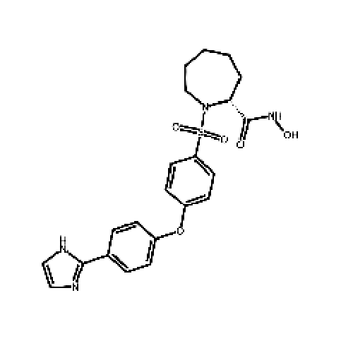 O=C(NO)[C@H]1CCCCCN1S(=O)(=O)c1ccc(Oc2ccc(-c3ncc[nH]3)cc2)cc1